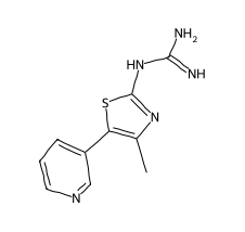 Cc1nc(NC(=N)N)sc1-c1cccnc1